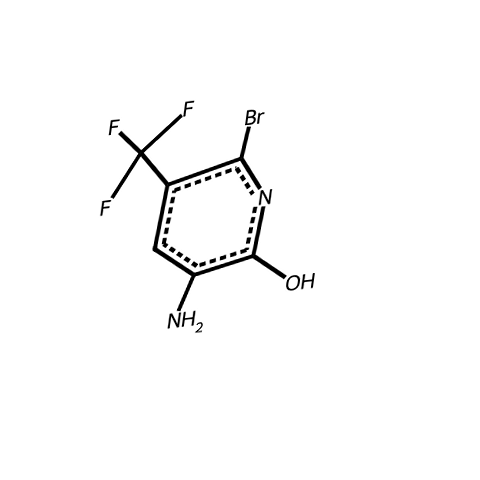 Nc1cc(C(F)(F)F)c(Br)nc1O